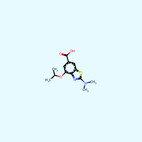 CC(C)Oc1cc(C(=O)O)cc2sc(N(C)C)nc12